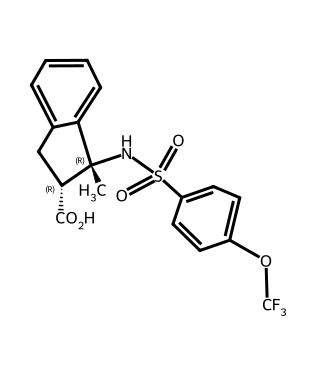 C[C@]1(NS(=O)(=O)c2ccc(OC(F)(F)F)cc2)c2ccccc2C[C@H]1C(=O)O